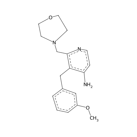 COc1cccc(Cc2c(N)ccnc2CN2CCOCC2)c1